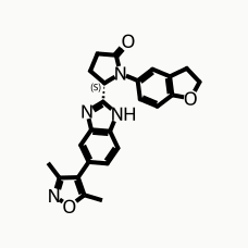 Cc1noc(C)c1-c1ccc2[nH]c([C@@H]3CCC(=O)N3c3ccc4c(c3)CCO4)nc2c1